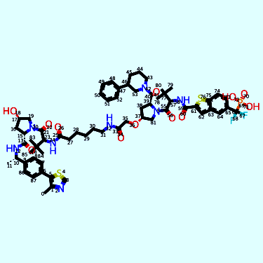 Cc1ncsc1-c1ccc([C@H](C)NC(=O)[C@@H]2C[C@@H](O)CN2C(=O)C(NC(=O)CCCCCNC(=O)CO[C@H]2C[C@@H](C(=O)N3CCCC(c4ccccc4)C3)N(C(=O)C(NC(=O)c3cc4cc(C(F)(F)P(=O)(O)O)ccc4s3)C(C)(C)C)C2)C(C)(C)C)cc1